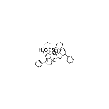 CC1=Cc2c(-c3ccccc3)cccc2[CH]1[Zr]([Cl])([Cl])([CH]1C(C)=Cc2c(-c3ccccc3)cccc21)=[Si](C1CCCCC1)C1CCCCC1